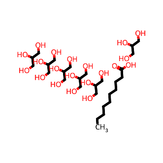 CCCCCCCCCC(=O)O.OCC(O)CO.OCC(O)CO.OCC(O)CO.OCC(O)CO.OCC(O)CO.OCC(O)CO